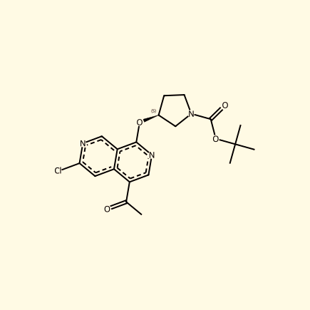 CC(=O)c1cnc(O[C@H]2CCN(C(=O)OC(C)(C)C)C2)c2cnc(Cl)cc12